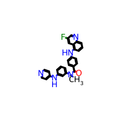 CN(C(=O)c1ccc(Nc2cccc3ncc(F)cc23)cc1)c1cccc(Nc2ccncc2)c1